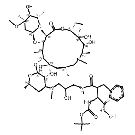 CC[C@H]1OC(=O)[C@H](C)[C@@H](O[C@H]2C[C@@](C)(OC)[C@@H](O)[C@H](C)O2)[C@H](C)[C@@H](O[C@@H]2O[C@H](C)CC(N(C)CC(O)CNC(=O)C(Cc3ccccc3)C(NC(=O)OC(C)(C)C)C(=O)NO)[C@H]2O)[C@](C)(O)C[C@@H](C)CN(C)[C@H](C)[C@@H](O)[C@]1(C)O